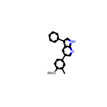 COc1ccc(-c2cnc3[nH]cc(-c4ccccc4)c3c2)cc1C